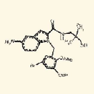 COc1cc(Br)cc(Cn2c(C(=O)NCC(C)(C)CO)cc3cc(N)ccc32)c1OC